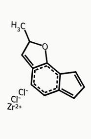 CC1C=c2ccc3c(c2O1)C=CC=3.[Cl-].[Cl-].[Zr+2]